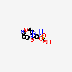 CN1CC2(CCc3ccc(NC(=O)c4ccc(NS(=O)(=O)CCO)cc4N4CCC5(CC4)CC5)cc32)CC1=O